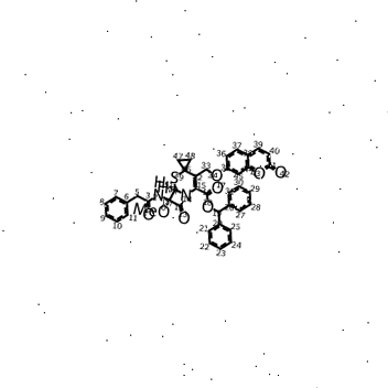 CO[C@@]1(NC(=O)Cc2ccccc2)C(=O)N2C(C(=O)OC(c3ccccc3)c3ccccc3)=C(COc3ccc4ccc(=O)oc4c3)C3(CC3)S[C@@H]21